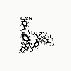 CCC(CC)N(Cc1cccc(C(=O)Nc2sc3c(c2C(=O)Nc2ccc(CCc4ccc(C(=O)O)cc4)cc2)CCCC3)c1)C(=O)CC(C)(C)CC(=O)O